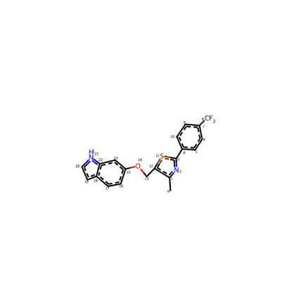 Cc1nc(-c2ccc(C(F)(F)F)cc2)sc1COc1ccc2cc[nH]c2c1